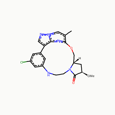 CO[C@@H]1C[C@H]2COc3nc4c(cnn4cc3C)-c3cc(Cl)cc(c3)NCCN2C1=O